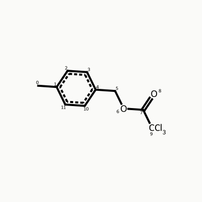 Cc1ccc(COC(=O)C(Cl)(Cl)Cl)cc1